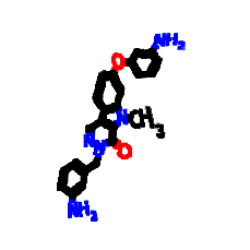 Cn1c2cc(Oc3cccc(N)c3)ccc2c2cnn(Cc3cccc(N)c3)c(=O)c21